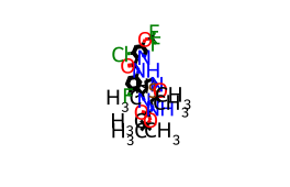 CC(C)(C)OC(=O)NC1=N[C@](C)(c2cc(NC(=O)c3ncc(OC(F)F)cc3Cl)ccc2F)[C@@H]2CCN=[S@]2(=O)C1(C)C